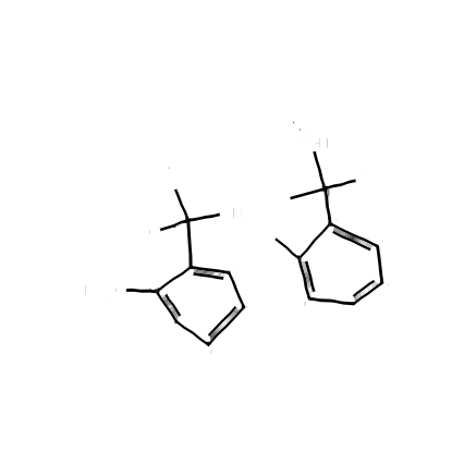 CC(C)(O)c1ccccc1C(=O)O.CC(C)(O)c1ccccc1C(=O)O.[Na]